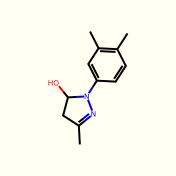 CC1=NN(c2ccc(C)c(C)c2)C(O)C1